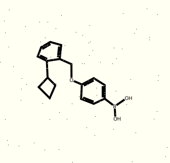 OB(O)c1ccc(OCc2ccccc2C2CCC2)cc1